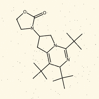 CC(C)(C)C1=NC(C(C)(C)C)C(C(C)(C)C)=C2CC(N3CCOC3=O)CN12